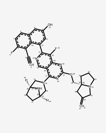 C#Cc1c(F)ccc2cc(O)cc(-c3ncc4c(N5C[C@H]6CC[C@@H](C5)N6)nc(OC[C@]56CCCN5CC(=C)C6)nc4c3F)c12